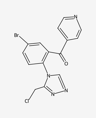 O=C(c1ccncc1)c1cc(Br)ccc1-n1cnnc1CCl